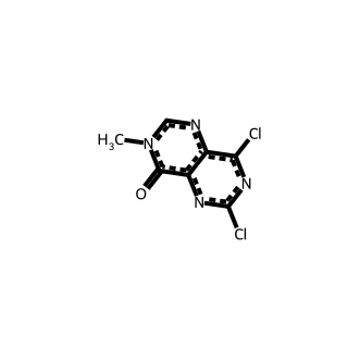 Cn1cnc2c(Cl)nc(Cl)nc2c1=O